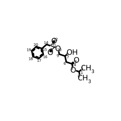 CC(C)OC(=O)CC(O)COS(=O)(=O)Cc1ccccc1